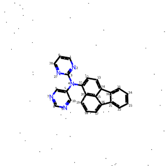 c1cnc(N(c2cncnc2)c2ccc3c4c(cccc24)-c2ccccc2-3)nc1